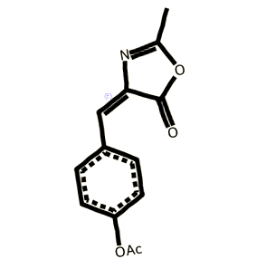 CC(=O)Oc1ccc(/C=C2/N=C(C)OC2=O)cc1